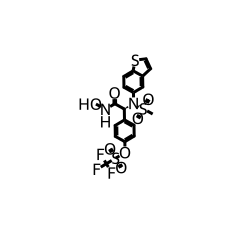 CS(=O)(=O)N(c1ccc2sccc2c1)[C@@H](C(=O)NO)c1ccc(OS(=O)(=O)C(F)(F)F)cc1